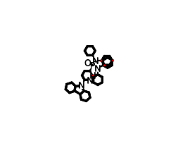 O=P(c1ccc(-n2c3ccccc3c3ccccc32)nn1)(N(c1ccccc1)c1ccccc1)N(c1ccccc1)c1ccccc1